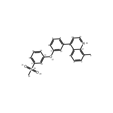 Cc1cccc2c(-c3cccc(Oc4cccc(S(C)(=O)=O)c4)c3)ccnc12